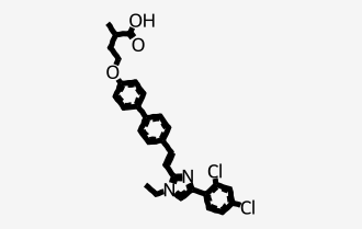 CCn1cc(-c2ccc(Cl)cc2Cl)nc1C=Cc1ccc(-c2ccc(OCCC(C)C(=O)O)cc2)cc1